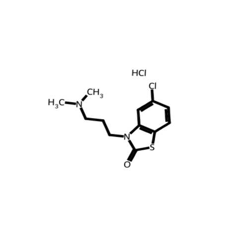 CN(C)CCCn1c(=O)sc2ccc(Cl)cc21.Cl